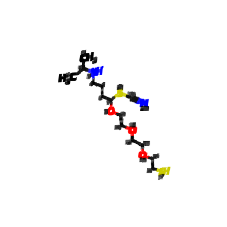 CC(C)NCCCC(OCCOCCOCCS)SC#N